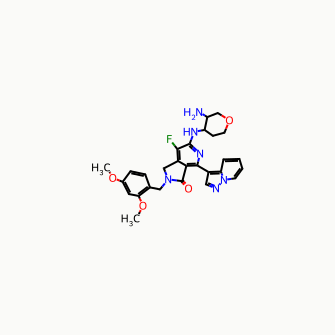 COc1ccc(CN2Cc3c(F)c(NC4CCOCC4N)nc(-c4cnn5ccccc45)c3C2=O)c(OC)c1